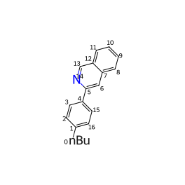 CCCCc1ccc(-c2cc3ccccc3cn2)cc1